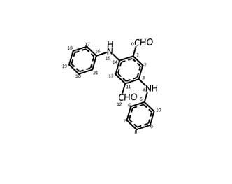 O=Cc1cc(Nc2ccccc2)c(C=O)cc1Nc1ccccc1